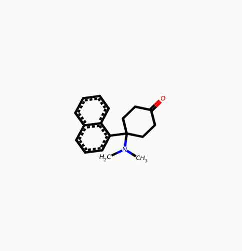 CN(C)C1(c2cccc3ccccc23)CCC(=O)CC1